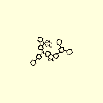 Cc1cc(N(c2ccc(C3CCCCC3)cc2)c2ccc3c(c2)C(C)(C)c2ccccc2-3)ccc1-c1cccc(-c2cc(C3CCCCC3)cc(C3CCCCC3)c2)c1